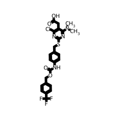 CN(C)c1nc(SCc2ccc(NC(=O)OCc3ccc(C(F)(F)F)cc3)cc2)nc(Cl)c1CC(=O)O